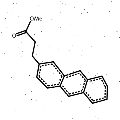 COC(=O)CCc1ccc2cc3ccccc3cc2c1